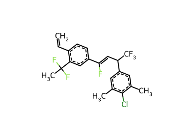 C=Cc1ccc(/C(F)=C/C(c2cc(C)c(Cl)c(C)c2)C(F)(F)F)cc1C(C)(F)F